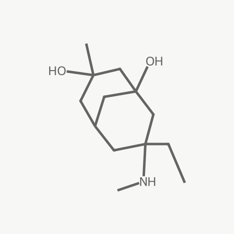 CCC1(NC)CC2CC(C)(O)CC(O)(C2)C1